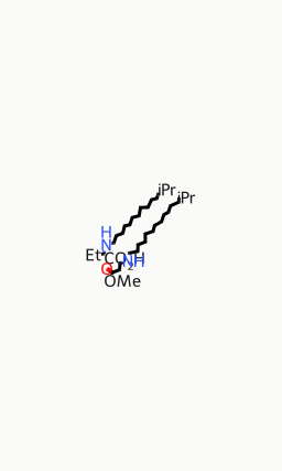 CCC(NCCCCCCCCCCCC(C)C)C(=O)O.COC(=O)CCNCCCCCCCCCCCCC(C)C